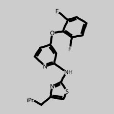 CC(C)Cc1csc(Nc2cc(Oc3c(F)cccc3F)ccn2)n1